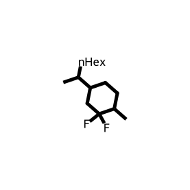 CCCCCCC(C)C1CCC(C)C(F)(F)C1